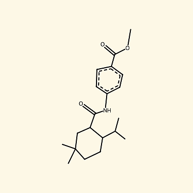 COC(=O)c1ccc(NC(=O)C2CC(C)(C)CCC2C(C)C)cc1